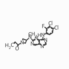 C=CC(=O)N1CC(N(C)c2ncc3ncnc(Nc4ccc(Cl)c(Cl)c4F)c3n2)C1